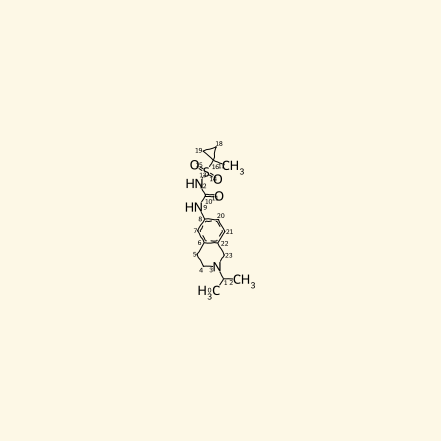 CC(C)N1CCc2cc(NC(=O)NS(=O)(=O)C3(C)CC3)ccc2C1